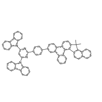 CC1(C)c2ccc3c4ccc(-c5ccc(-c6nc(-n7c8ccccc8c8ccccc87)cc(-n7c8ccccc8c8ccccc87)n6)cc5)cc4c4ccccc4c3c2-c2ccc3ccccc3c21